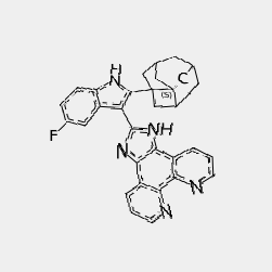 Fc1ccc2[nH]c(C34CC5CC6CC(C3)[C@]4(C6)C5)c(-c3nc4c5cccnc5c5ncccc5c4[nH]3)c2c1